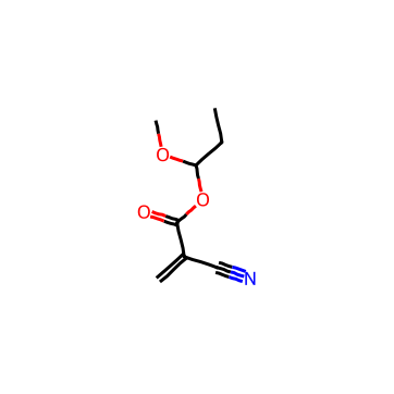 C=C(C#N)C(=O)OC(CC)OC